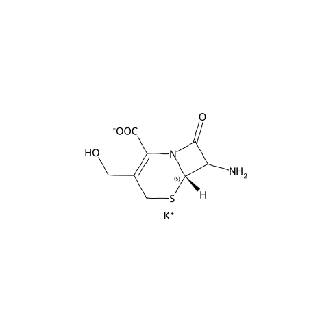 NC1C(=O)N2C(C(=O)[O-])=C(CO)CS[C@@H]12.[K+]